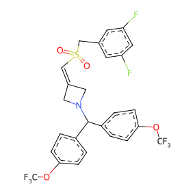 O=S(=O)(C=C1CN(C(c2ccc(OC(F)(F)F)cc2)c2ccc(OC(F)(F)F)cc2)C1)Cc1cc(F)cc(F)c1